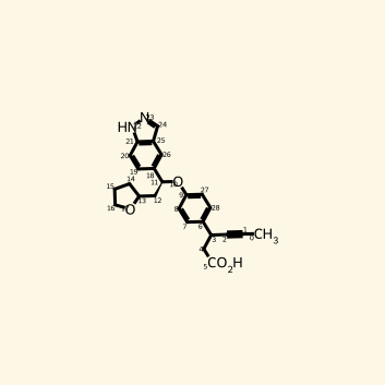 CC#CC(CC(=O)O)c1ccc(O[C@@H](CC2CCCO2)c2ccc3[nH]ncc3c2)cc1